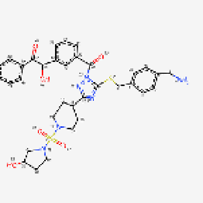 NCc1ccc(CSc2nc(C3CCN(S(=O)(=O)N4CCC(O)C4)CC3)nn2C(=O)c2cccc(C(O)C(=O)c3ccccc3)c2)cc1